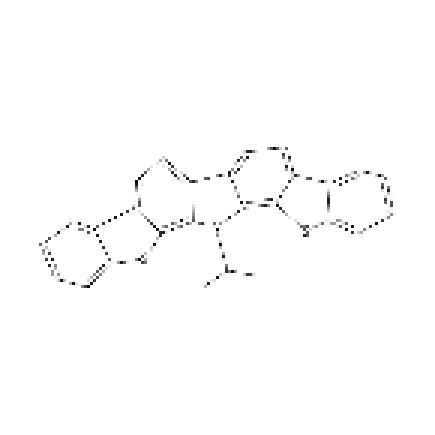 CC(C)n1c2c(ccc3c4ccccc4sc32)c2ccc3c4ccccc4sc3c21